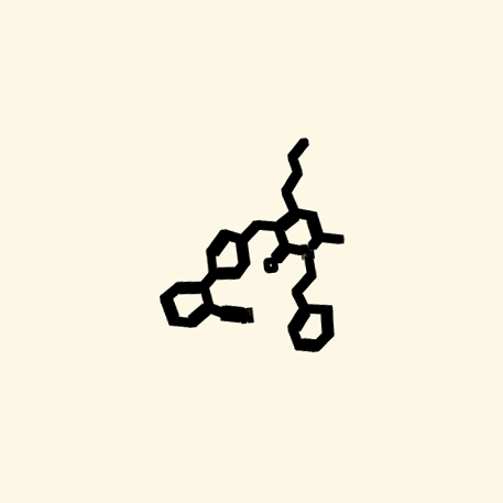 CCCCc1cc(C)n(CCc2ccccc2)c(=O)c1Cc1ccc(-c2ccccc2C#N)cc1